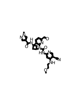 COCCNc1cc(NC(=O)N2c3nc(C=O)ccc3C3(NC(=O)c4cnn(C)c4)CC2C3)ncc1C#N